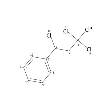 ClC(CC(Cl)(Cl)Cl)c1ccccc1